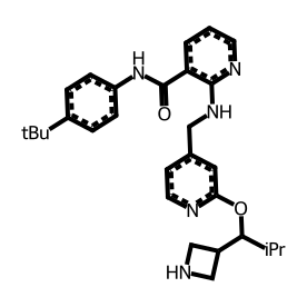 CC(C)C(Oc1cc(CNc2ncccc2C(=O)Nc2ccc(C(C)(C)C)cc2)ccn1)C1CNC1